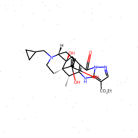 CCOC(=O)c1cnn2c(=O)c3c([nH]c12)[C@H](C)[C@]12CCN(CC4CC4)[C@H](Cc4ccc(O)c(O)c41)[C@]2(O)C3